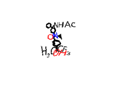 CC(=O)NCC1(c2ccccc2)CCC(N(C(=O)c2ccc(C(C)(O)C(F)(F)F)cc2)C2CC2)CC1